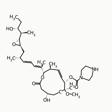 CC[C@@H](O)[C@@H](C)[C@H]1O[C@@H]1C[C@@H](C)/C=C/C=C(\C)[C@H]1OC(=O)C[C@@H](O)CC[C@](C)(OC)[C@@H](OC(=O)N2CCNCC2)/C=C/[C@@H]1C